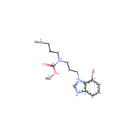 COCCCN(CCCn1cnc2cccc(Br)c21)C(=O)OC(C)(C)C